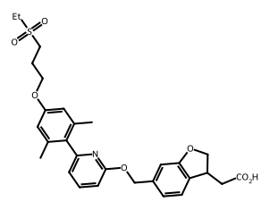 CCS(=O)(=O)CCCOc1cc(C)c(-c2cccc(OCc3ccc4c(c3)OCC4CC(=O)O)n2)c(C)c1